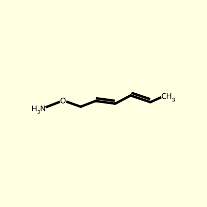 CC=CC=CCON